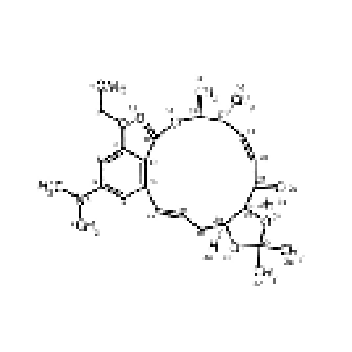 COCOc1cc(N(C)C)cc2c1C(=O)O[C@@H](C)[C@H](C)/C=C\C(=O)[C@H]1OC(C)(C)O[C@H]1C/C=C/2